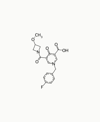 COC1CN(C(=O)c2cn(Cc3ccc(F)cc3)cc(C(=O)O)c2=O)C1